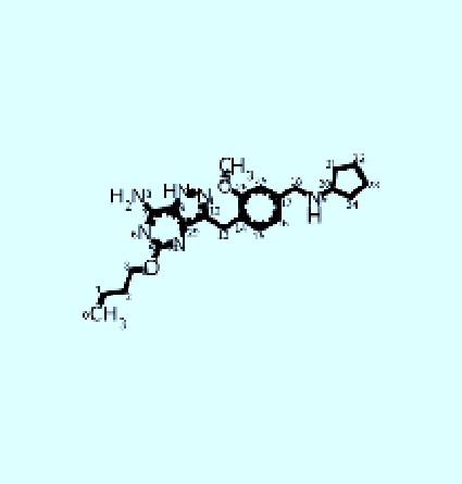 CCCCOc1nc(N)c2[nH]nc(Cc3ccc(CNC4CCCC4)cc3OC)c2n1